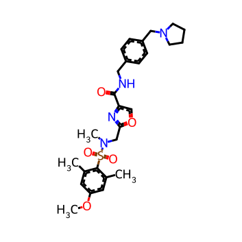 COc1cc(C)c(S(=O)(=O)N(C)Cc2nc(C(=O)NCc3ccc(CN4CCCC4)cc3)co2)c(C)c1